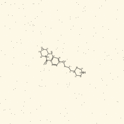 O=C(c1ccc(OCCCC2CCNCC2)cc1F)N1CCOCC1